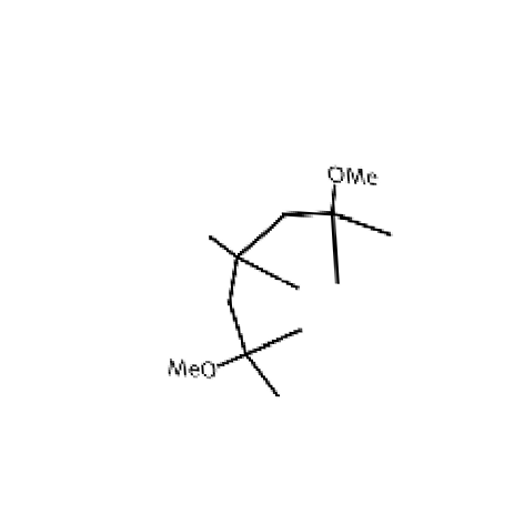 COC(C)(C)CC(C)(C)CC(C)(C)OC